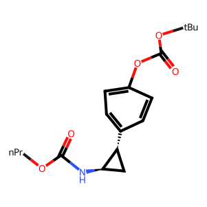 CCCOC(=O)N[C@@H]1C[C@H]1c1ccc(OC(=O)OC(C)(C)C)cc1